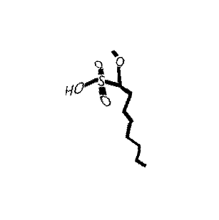 CCCCCCCC(OC)S(=O)(=O)O